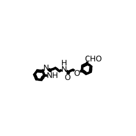 O=Cc1cccc(OCC(=O)NCCc2nc3ccccc3[nH]2)c1